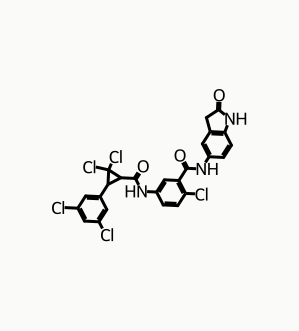 O=C1Cc2cc(NC(=O)c3cc(NC(=O)C4C(c5cc(Cl)cc(Cl)c5)C4(Cl)Cl)ccc3Cl)ccc2N1